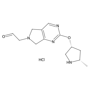 C[C@H]1C[C@@H](Oc2ncc3c(n2)CN(CC=O)C3)CN1.Cl